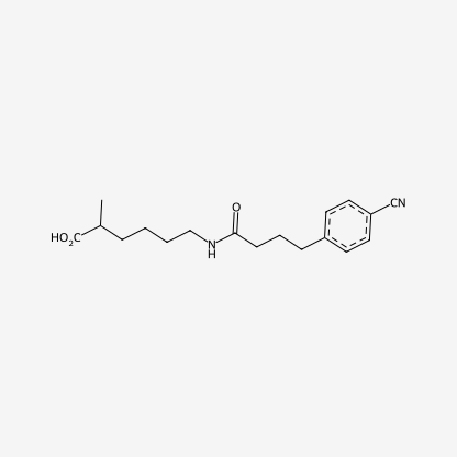 CC(CCCCNC(=O)CCCc1ccc(C#N)cc1)C(=O)O